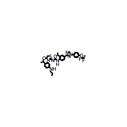 CCCNc1ccc(C(C)C)c(N2C(=O)CS/C2=N\C(=O)Nc2ccc(-c3ncn(-c4ccc(OC(F)(F)F)cc4)n3)cc2CC)c1